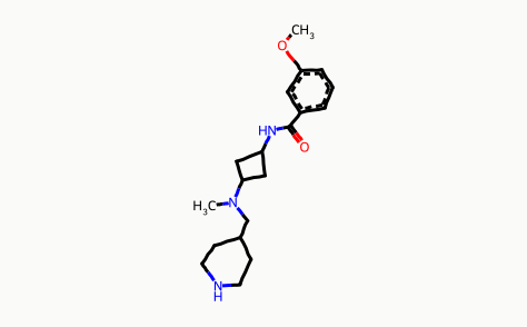 COc1cccc(C(=O)NC2CC(N(C)CC3CCNCC3)C2)c1